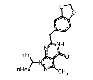 CCCCCCC(CCC)n1nc(C)c2c(=O)[nH]c(Cc3ccc4c(c3)OCO4)nc21